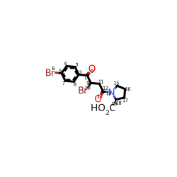 O=C(c1ccc(Br)cc1)C(Br)CC(=O)N1CCC[C@H]1C(=O)O